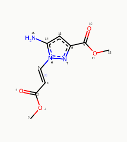 COC(=O)/C=C/n1nc(C(=O)OC)cc1N